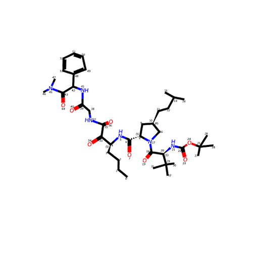 CCCC[C@H](NC(=O)[C@@H]1C[C@@H](CCC(C)C)CN1C(=O)[C@@H](NC(=O)OC(C)(C)C)C(C)(C)C)C(=O)C(=O)NCC(=O)NC(C(=O)N(C)C)c1ccccc1